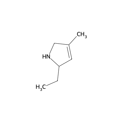 CCC1C=C(C)CN1